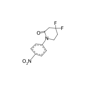 O=C1CC(F)(F)CCN1c1ccc([N+](=O)[O-])cc1